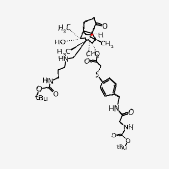 C[C@@H]1CC[C@@]23CCC(=O)[C@H]2[C@]1(C)[C@H](OC(=O)CSc1ccc(CNC(=O)CNC(=O)OC(C)(C)C)cc1)C[C@](C)(CNCCCNC(=O)OC(C)(C)C)[C@@H](O)[C@@H]3C